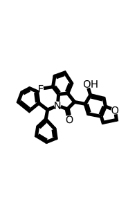 O=C1C(c2cc3c(cc2O)OCC3)c2cccc(F)c2N1C(c1ccccc1)c1ccccc1